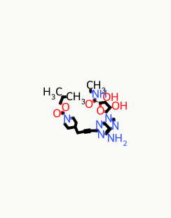 CCNC(=O)[C@H]1O[C@@H](n2cnc3c(N)nc(C#CCC4CCN(C(=O)OCC(C)C)CC4)nc32)[C@H](O)[C@@H]1O